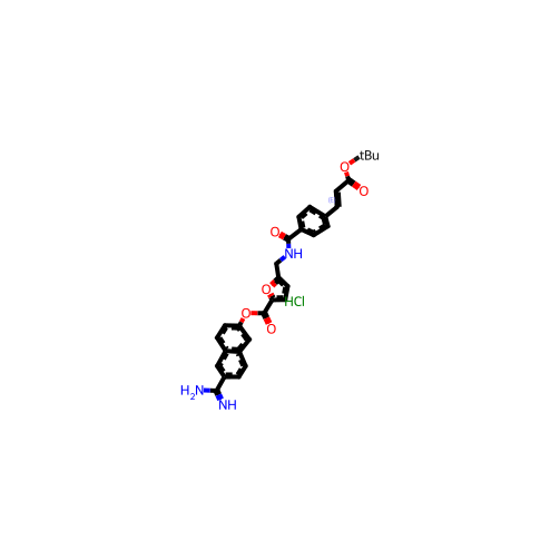 CC(C)(C)OC(=O)/C=C/c1ccc(C(=O)NCc2ccc(C(=O)Oc3ccc4cc(C(=N)N)ccc4c3)o2)cc1.Cl